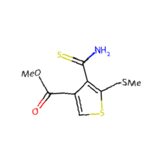 COC(=O)c1csc(SC)c1C(N)=S